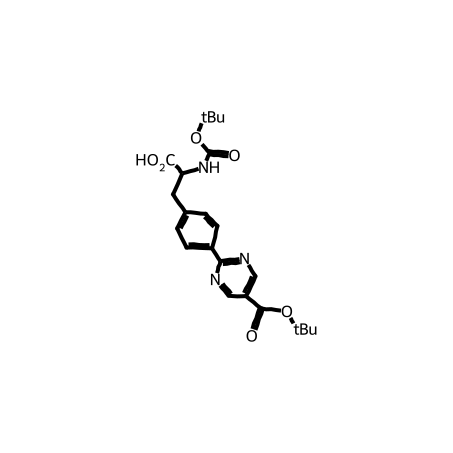 CC(C)(C)OC(=O)NC(Cc1ccc(-c2ncc(C(=O)OC(C)(C)C)cn2)cc1)C(=O)O